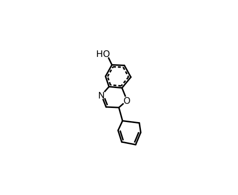 Oc1ccc2c(c1)N=CC(C1C=CC=CC1)O2